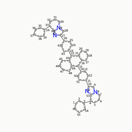 c1ccc(-c2cccn3cc(-c4ccc(-c5c6ccccc6c(-c6ccc(-c7cn8cccc(-c9ccccc9)c8n7)cc6)c6ccccc56)cc4)nc23)cc1